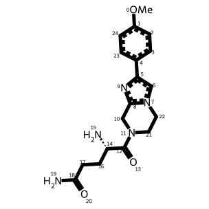 COc1ccc(-c2cn3c(n2)CN(C(=O)[C@@H](N)CCC(N)=O)CC3)cc1